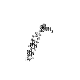 CC(C)Cc1nc(-c2cnc(N3CCC(CCCOS(C)(=O)=O)CC3)nc2)no1